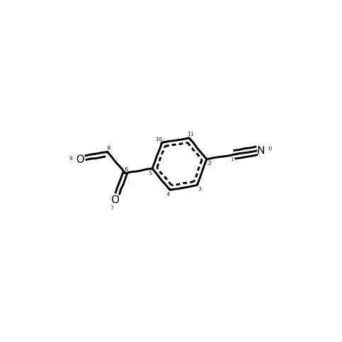 N#Cc1ccc(C(=O)C=O)cc1